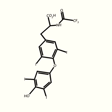 O=C(O)C(Cc1cc(I)c(Oc2cc(I)c(O)c(I)c2)c(I)c1)NC(=O)C(F)(F)F